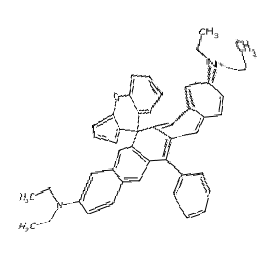 CCN(CC)c1ccc2cc3c(cc2c1)C1(c2ccccc2Oc2ccccc21)c1cc2c(cc1=C3c1ccccc1)C=CC(=[N+](CC)CC)C=2